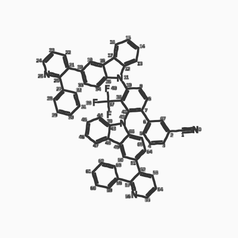 N#Cc1cccc(-c2ccc(-n3c4ccccc4c4cc(-c5cccnc5-c5ccccc5)ccc43)c(C(F)(F)F)c2-n2c3ccccc3c3cc(-c4cccnc4-c4ccccc4)ccc32)c1